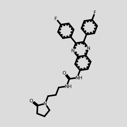 O=C(NCCCN1CCCC1=O)Nc1ccc2nc(-c3ccc(F)cc3)c(-c3ccc(F)cc3)nc2c1